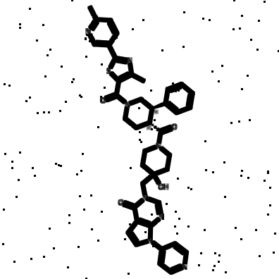 Cc1ccc(-c2nc(C)c(C(=O)N3CC[C@@H](C(=O)N4CCC(O)(Cn5cnc6c(ccn6-c6ccncc6)c5=O)CC4)[C@H](c4ccccc4)C3)s2)cn1